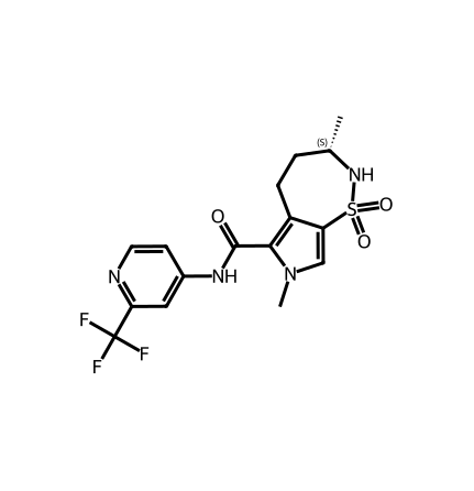 C[C@H]1CCc2c(cn(C)c2C(=O)Nc2ccnc(C(F)(F)F)c2)S(=O)(=O)N1